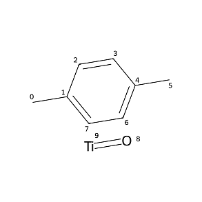 Cc1ccc(C)cc1.[O]=[Ti]